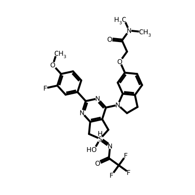 COc1ccc(-c2nc3c(c(N4CCc5ccc(OCC(=O)N(C)C)cc54)n2)C[SH](O)(=NC(=O)C(F)(F)F)C3)cc1F